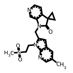 Cc1cnc2c(c1)cc(CN1C(=O)C3(CC3)c3ccncc31)n2CCS(C)(=O)=O